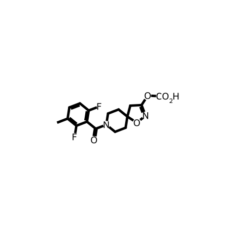 Cc1ccc(F)c(C(=O)N2CCC3(CC2)CC(OC(=O)O)=NO3)c1F